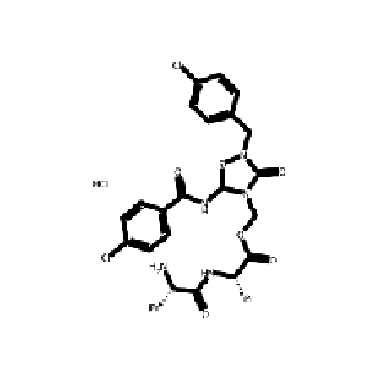 CC(C)[C@H](N)C(=O)N[C@H](C(=O)OCN1C(=O)N(Cc2ccc(Cl)cc2)SC1NC(=O)c1ccc(Cl)cc1)C(C)C.Cl